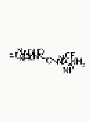 N=Cc1c(C(N)=O)c(C(F)(F)F)nn1CCOCCC(=O)N1CC[C@@H]2[C@H]1CCN2c1ncc(F)cn1